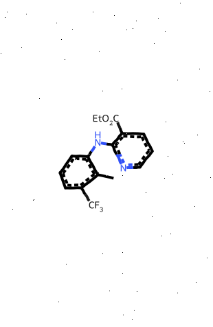 CCOC(=O)c1cccnc1Nc1cccc(C(F)(F)F)c1C